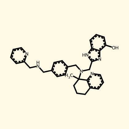 CC1(N(Cc2ccc(CNCc3ccccn3)cc2)Cc2nc3c(O)cccc3[nH]2)CCCc2cccnc21